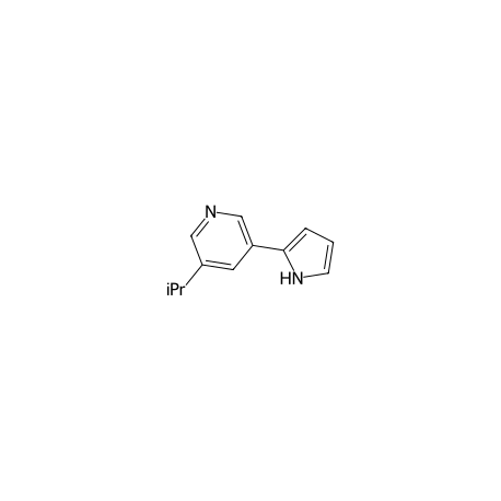 CC(C)c1cncc(-c2ccc[nH]2)c1